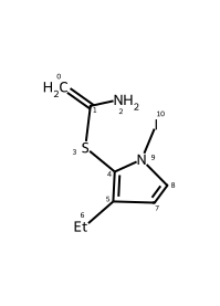 C=C(N)Sc1c(CC)ccn1I